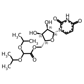 CC(C)OC(OC(C)C)C(=O)OC[C@H]1O[C@@H](n2ccc(=O)[nH]c2=O)[C@H](O)[C@@H]1O